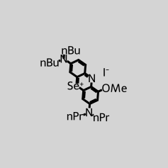 CCCCN(CCCC)c1ccc2nc3c(OC)cc(N(CCC)CCC)cc3[se+]c2c1.[I-]